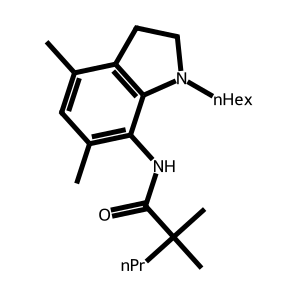 CCCCCCN1CCc2c(C)cc(C)c(NC(=O)C(C)(C)CCC)c21